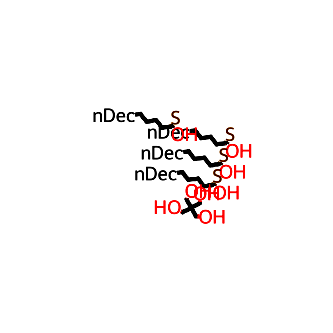 CCCCCCCCCCCCCCC(O)=S.CCCCCCCCCCCCCCC(O)=S.CCCCCCCCCCCCCCC(O)=S.CCCCCCCCCCCCCCC(O)=S.OCC(CO)(CO)CO